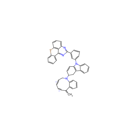 C=C1/C=C\C=C/CN(C2C=Cc3c(c4ccccc4n3-c3cccc(-c4nc5c6c(cccc6n4)Sc4ccccc4-5)c3)C2)c2ccccc21